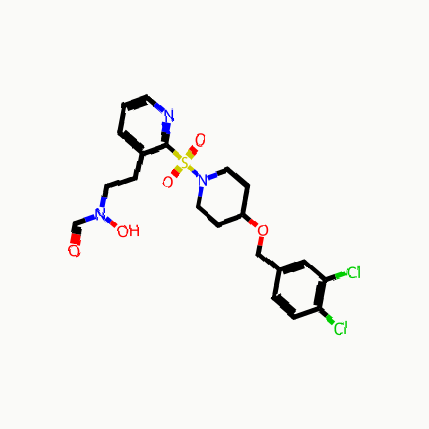 O=CN(O)CCc1cccnc1S(=O)(=O)N1CCC(OCc2ccc(Cl)c(Cl)c2)CC1